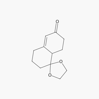 O=C1C=C2CCCC3(OCCO3)C2CC1